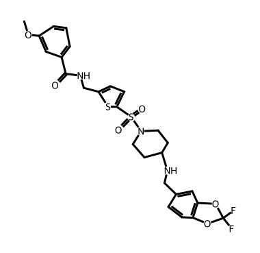 COc1cccc(C(=O)NCc2ccc(S(=O)(=O)N3CCC(NCc4ccc5c(c4)OC(F)(F)O5)CC3)s2)c1